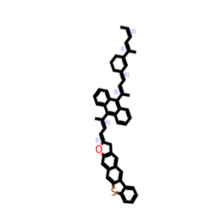 C/C=C\C=C(/C)C1=C/C(=C/C=C(\C)c2c3ccccc3c(/C(C)=C/C=C3\Cc4cc5cc6c(cc5cc4O3)sc3ccccc36)c3ccccc23)CCC1